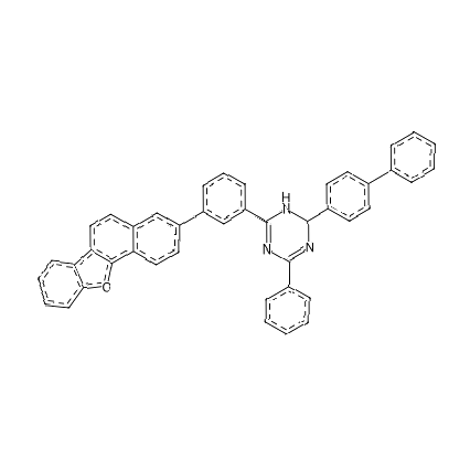 c1ccc(C2=NC(c3ccc(-c4ccccc4)cc3)NC(c3cccc(-c4ccc5c(ccc6c7ccccc7oc56)c4)c3)=N2)cc1